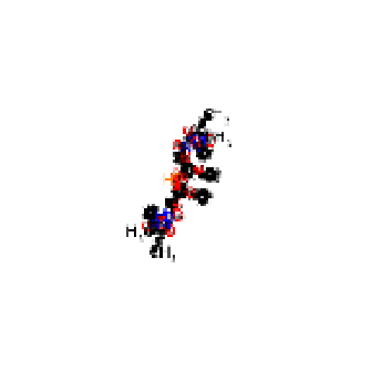 CCCCC[C@@H](C(=O)NCNC(=O)c1ccc(-c2cc(OCc3ccccc3)cc(O[PH](=O)Oc3cc(OCc4ccccc4)cc(-c4ccc(C(=O)NCNC(=O)[C@H](CCCCC)[C@@H](CC)N(C=O)OCc5ccccc5)o4)c3)c2)o1)[C@@H](CC)N(C=O)OCc1ccccc1